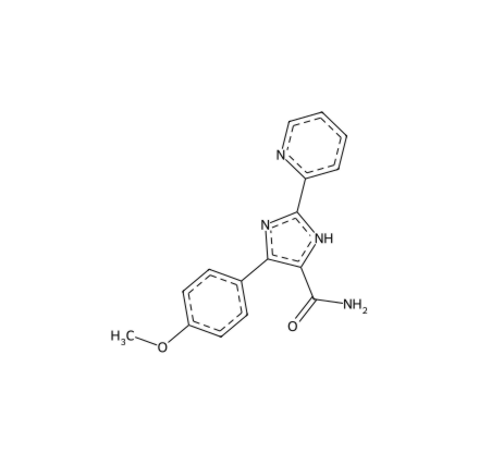 COc1ccc(-c2nc(-c3ccccn3)[nH]c2C(N)=O)cc1